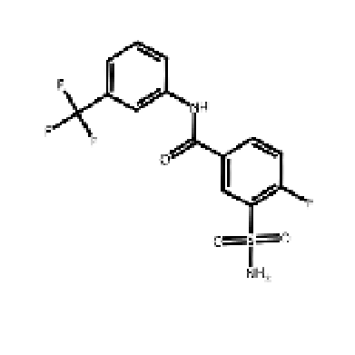 NS(=O)(=O)c1cc(C(=O)Nc2cccc(C(F)(F)F)c2)ccc1F